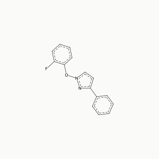 Fc1ccccc1On1ccc(-c2ccccc2)n1